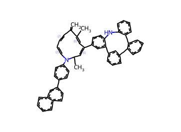 C=C1/C=C\C=C/N(c2ccc(-c3ccc4ccccc4c3)cc2)C(C)/C=C(c2ccc3c(c2)-c2cccc(c2)-c2ccccc2-c2ccccc2N3)\C=C\1C